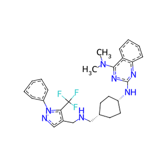 CN(C)c1nc(N[C@H]2CC[C@@H](CNCc3cnn(-c4ccccc4)c3C(F)(F)F)CC2)nc2ccccc12